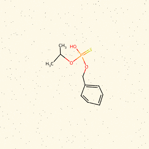 CC(C)OP(O)(=S)OCc1ccccc1